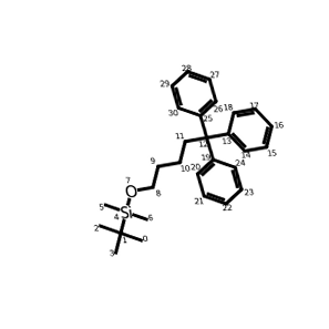 CC(C)(C)[Si](C)(C)OCCCCC(c1ccccc1)(c1ccccc1)c1ccccc1